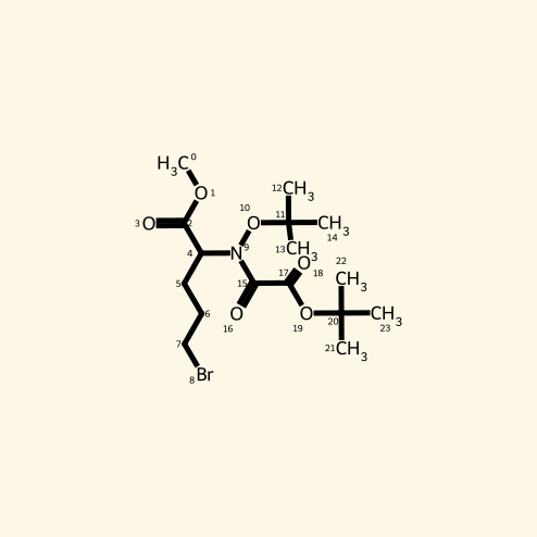 COC(=O)C(CCCBr)N(OC(C)(C)C)C(=O)C(=O)OC(C)(C)C